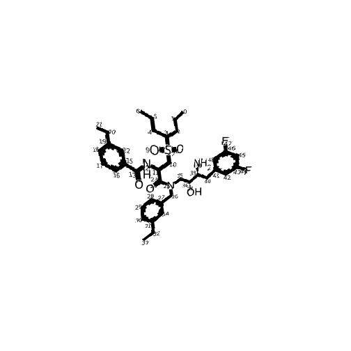 CCCC(CCC)S(=O)(=O)CC(NC(=O)c1cccc(CC)c1)C(=O)N(Cc1cccc(CC)c1)C[C@@H](O)[C@@H](N)Cc1cc(F)cc(F)c1